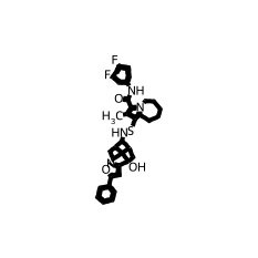 Cc1c(SNC2C3CCC34C2CC4(O)c2cc(-c3ccccc3)on2)c2n(c1C(=O)Nc1ccc(F)c(F)c1)CCCCC2